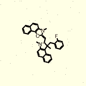 CN1/C(=C/C2=[N+](C)c3ccc4ccccc4c3C2(C)Cc2ccccc2F)Oc2c1ccc1ccccc21